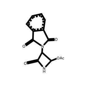 CC(=O)OC1NC(=O)C1N1C(=O)c2ccccc2C1=O